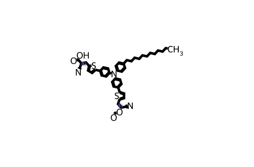 CCCCCCCCCCCCc1ccc(N(c2ccc(-c3ccc(/C=C(\C#N)OC=O)s3)cc2)c2ccc(-c3ccc(/C=C(\C#N)C(=O)O)s3)cc2)cc1